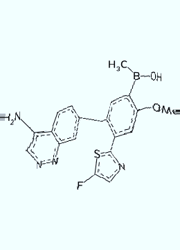 COc1cc(-c2ncc(F)s2)c(-c2ccc3c(N)cnnc3c2)cc1B(C)O